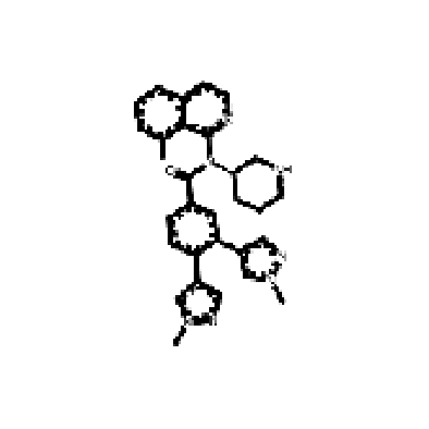 Cc1cccc2ccnc(N(C(=O)c3ccc(-c4cnn(C)c4)c(-c4cnn(C)c4)c3)[C@@H]3CCCNC3)c12